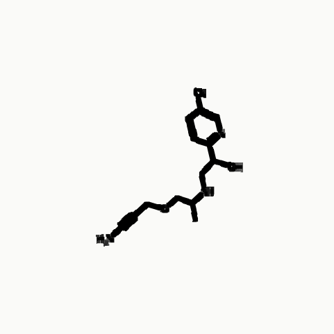 CC(COCC#CN)NCC(O)c1ccc(C#N)cn1